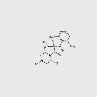 Cc1cccc(C)c1C(=O)P(=O)(CC(C)C)C(=O)c1c(Cl)cc(Cl)cc1Cl